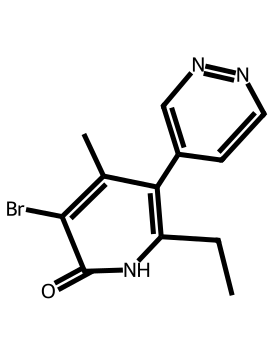 CCc1[nH]c(=O)c(Br)c(C)c1-c1ccnnc1